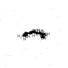 CCC(NC(=O)C(CC(=O)O)NC(=O)C(N)CNC(=O)CCC(NC(=O)c1ccc(NCc2cnc3nc(N)[nH]c(=O)c3n2)cc1)C(=O)O)C(=O)O